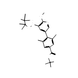 COc1ncc(-c2c(C)cc(C(=O)OC(C)(C)C)cc2C)cc1B1OC(C)(C)C(C)(C)O1